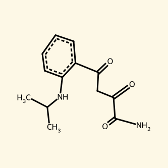 CC(C)Nc1ccccc1C(=O)CC(=O)C(N)=O